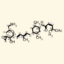 CC(=O)O[C@@H](C)/C=C\C(=O)N[C@@H]1C[C@H](C)[C@H](C/C=C(C)/C=C/[C@H]2O[C@H](CN)C[C@@]3(CO3)[C@@H]2O)C[C@@H]1C